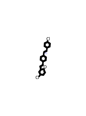 Clc1ccc(/C=C/c2ccc(-c3cc4cc(Cl)ccc4o3)cc2)cc1